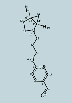 O=[C]c1ccc(OCCCN2CC[C@H]3C[C@H]32)cc1